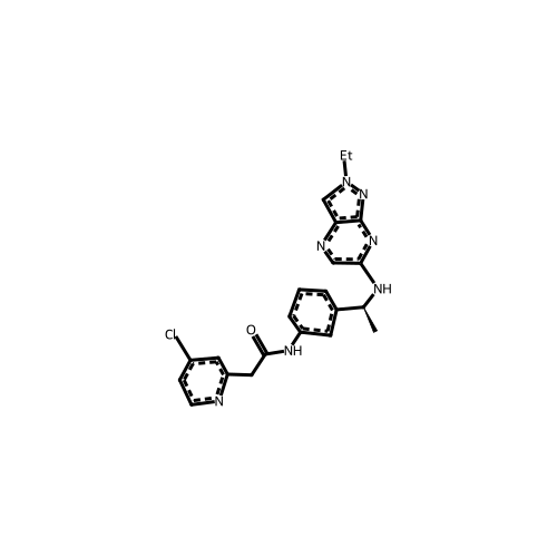 CCn1cc2ncc(N[C@@H](C)c3cccc(NC(=O)Cc4cc(Cl)ccn4)c3)nc2n1